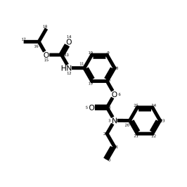 C=CCN(C(=O)Oc1cccc(NC(=O)OC(C)C)c1)c1ccccc1